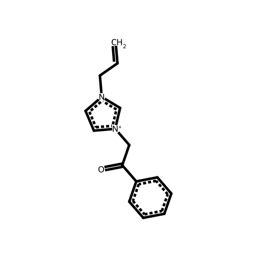 C=CCn1cc[n+](CC(=O)c2ccccc2)c1